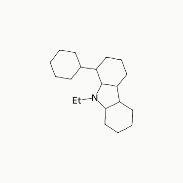 CCN1C2CCCCC2C2CCCC(C3CCCCC3)C21